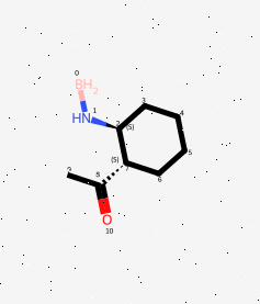 BN[C@H]1CCCC[C@@H]1C(C)=O